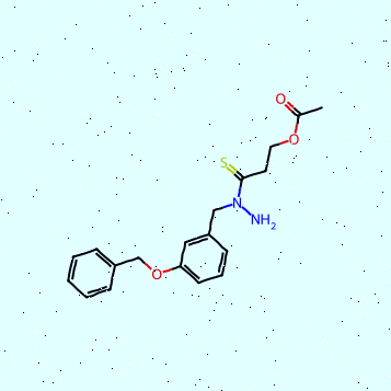 CC(=O)OCCC(=S)N(N)Cc1cccc(OCc2ccccc2)c1